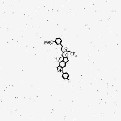 COc1cccc(CCN(CC2CCC3=Cc4c(cnn4-c4ccc(F)cc4)C[C@@]32C)S(=O)(=O)CC(F)(F)F)c1